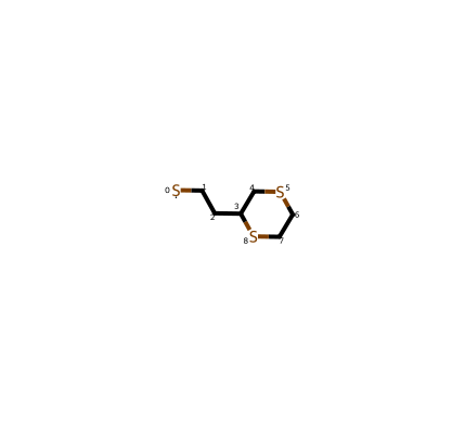 [S]CCC1CSCCS1